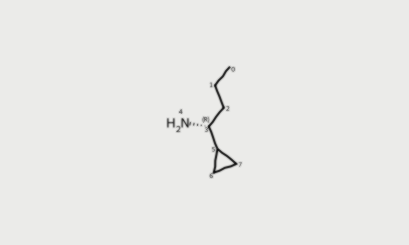 CCC[C@@H](N)C1CC1